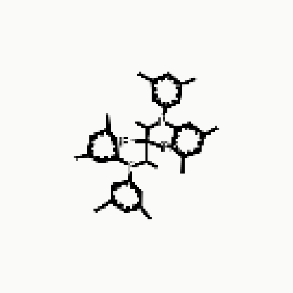 Cc1cc(C)cc(P(c2cc(C)cc(C)c2)C(C)C(C(C)C)(C(C)C)C(C)P(c2cc(C)cc(C)c2)c2cc(C)cc(C)c2)c1